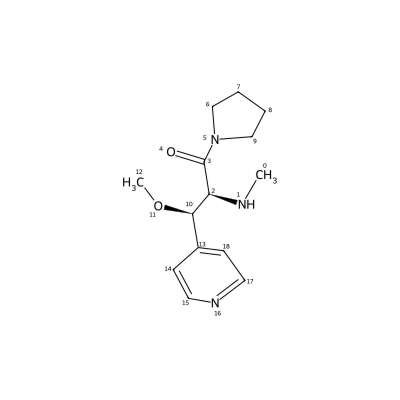 CN[C@H](C(=O)N1CCCC1)[C@H](OC)c1ccncc1